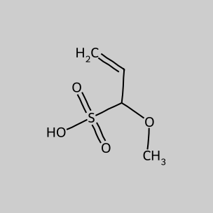 C=CC(OC)S(=O)(=O)O